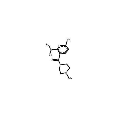 CCCN1CCN(C(=O)c2ccc(N)nc2N(C(C)C)C(C)C)CC1